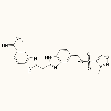 Cc1nocc1S(=O)(=O)NCc1ccc2[nH]c(Cc3nc4cc(C(=N)N)ccc4[nH]3)nc2c1